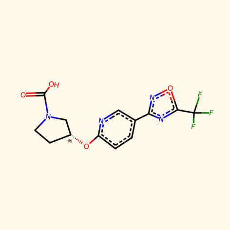 O=C(O)N1CC[C@@H](Oc2ccc(-c3noc(C(F)(F)F)n3)cn2)C1